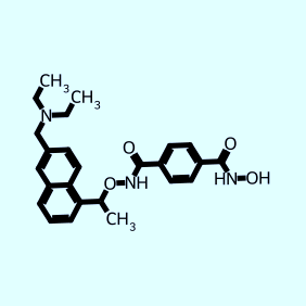 CCN(CC)Cc1ccc2c(C(C)ONC(=O)c3ccc(C(=O)NO)cc3)cccc2c1